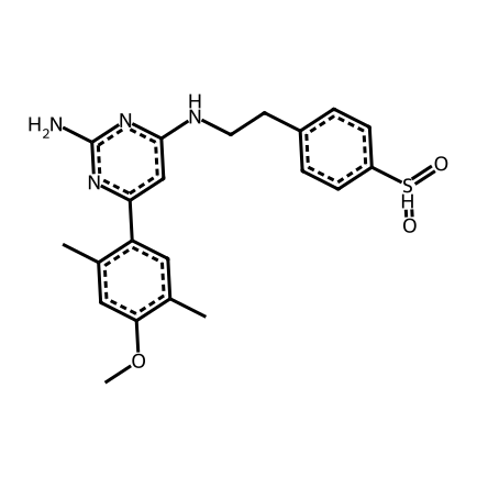 COc1cc(C)c(-c2cc(NCCc3ccc([SH](=O)=O)cc3)nc(N)n2)cc1C